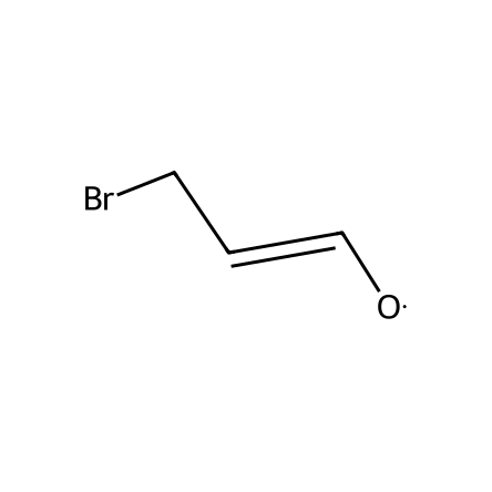 [O]C=CCBr